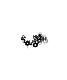 BC1(B)c2c(OCc3ccc(CN4CCOCC4)cc3F)cccc2C(=O)N1C1C(=O)NC(=O)C(B)(B)C1(B)B